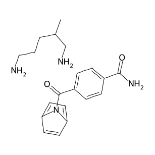 CC(CN)CCCN.NC(=O)c1ccc(C(=O)n2c3ccc2cc3)cc1